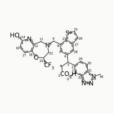 Cc1c(C(CC(=O)O)c2cc(CN3Cc4nc(O)ccc4O[C@H](C(F)(F)F)C3)c3sccc3c2)ccc2c1nnn2C